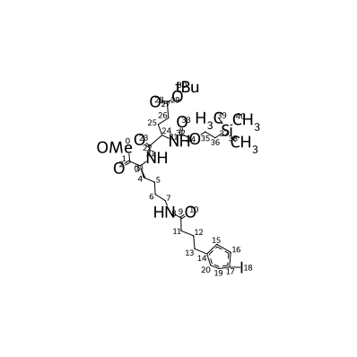 COC(=O)[C@H](CCCCNC(=O)CCCc1ccc(I)cc1)NC(=O)C(CCC(=O)OC(C)(C)C)NC(=O)OCC[Si](C)(C)C